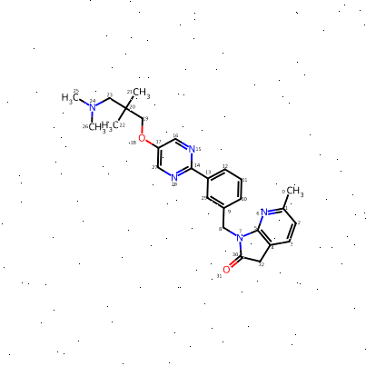 Cc1ccc2c(n1)N(Cc1cccc(-c3ncc(OCC(C)(C)CN(C)C)cn3)c1)C(=O)C2